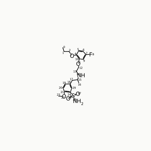 CCCOc1ccc(F)cc1OCCNC(C)Cc1ccc(OC)c(S(N)(=O)=O)c1